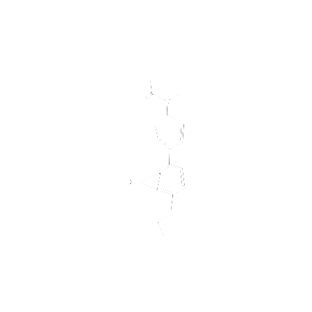 CCOc1ccc(-c2ccc(N(C)C(=O)O)cc2)c2c1[PH]2=O